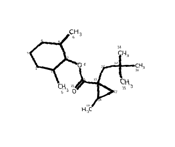 CC1CCCC(C)C1OC(=O)C1(CC(C)(C)C)CC1C